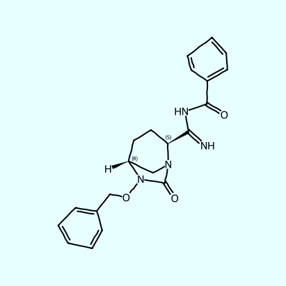 N=C(NC(=O)c1ccccc1)[C@@H]1CC[C@@H]2CN1C(=O)N2OCc1ccccc1